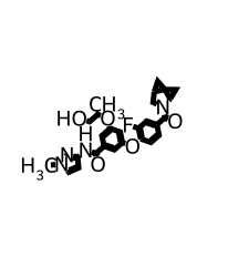 C[C@@H](CO)Oc1cc(Oc2ccc(C(=O)N3CC4CC45CC35)cc2F)cc(C(=O)Nc2ccn(C)n2)c1